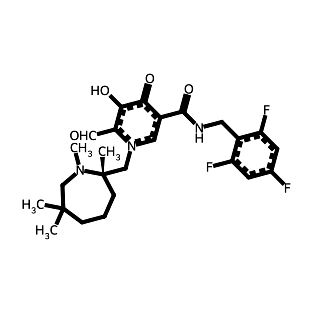 CN1CC(C)(C)CCC[C@@]1(C)Cn1cc(C(=O)NCc2c(F)cc(F)cc2F)c(=O)c(O)c1C=O